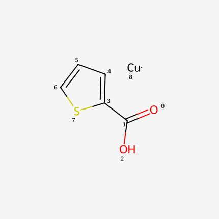 O=C(O)c1cccs1.[Cu]